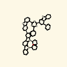 c1ccc(-c2nc(-c3cc(-c4ccccc4)c4c(c3)oc3ccccc34)nc(-c3cccc4oc5ccc(-c6ccc7c(c6)c6ccc8c9ccccc9n(-c9ccccc9)c8c6n7-c6ccccc6)cc5c34)n2)cc1